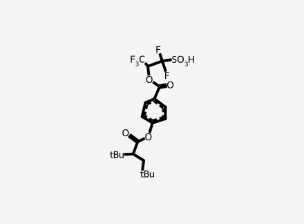 CC(C)(C)CC(C(=O)Oc1ccc(C(=O)OC(C(F)(F)F)C(F)(F)S(=O)(=O)O)cc1)C(C)(C)C